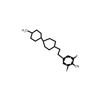 CC1CCC(C2CCC(CCc3cc(F)c(C#N)c(F)c3)CC2)CC1